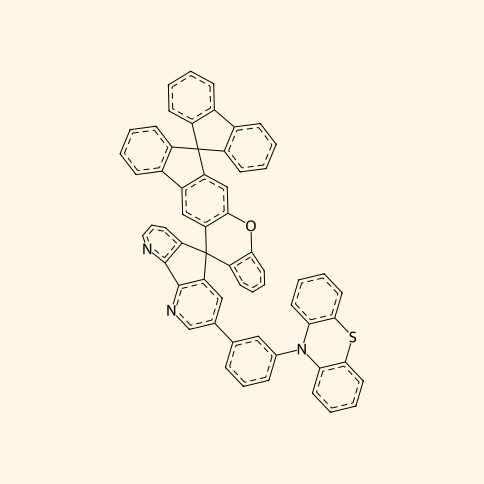 c1cc(-c2cnc3c(c2)C2(c4ccccc4Oc4cc5c(cc42)-c2ccccc2C52c4ccccc4-c4ccccc42)c2cccnc2-3)cc(N2c3ccccc3Sc3ccccc32)c1